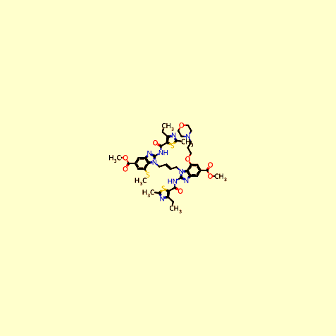 CCc1nc(C)sc1C(=O)Nc1nc2cc(C(=O)OC)cc(OCCCN3CCOCC3)c2n1CC=CCn1c(NC(=O)c2sc(C)nc2CC)nc2cc(C(=O)OC)cc(SC)c21